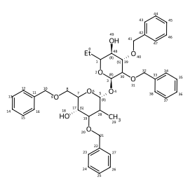 CCC1O[C@H](O[C@H]2OC(COCc3ccccc3)[C@@H](O)C(OCc3ccccc3)C2C)C(OCc2ccccc2)[C@@H](OCc2ccccc2)[C@@H]1O